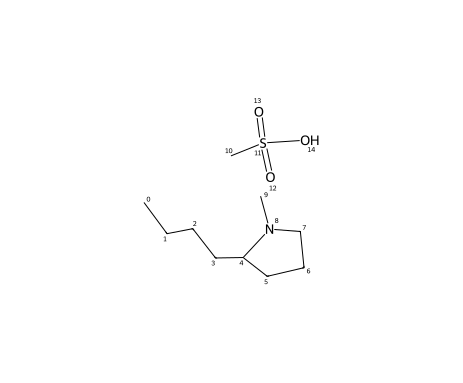 CCCCC1CCCN1C.CS(=O)(=O)O